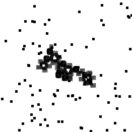 COc1ccc(-c2cc(=O)c3c(O)cc(OCCN4CCN(C)CC4)cc3o2)cc1OC1CCCC1